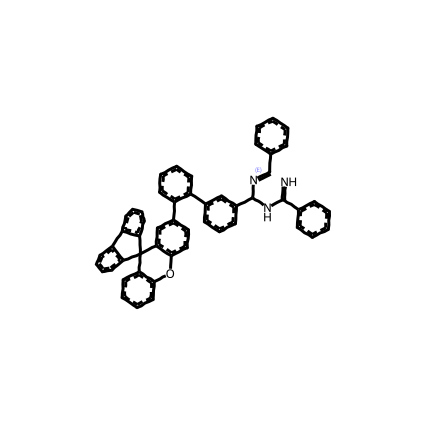 N=C(NC(/N=C/c1ccccc1)c1cccc(-c2ccccc2-c2ccc3c(c2)C2(c4ccccc4O3)c3ccccc3-c3ccccc32)c1)c1ccccc1